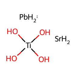 [OH][Ti]([OH])([OH])[OH].[PbH2].[SrH2]